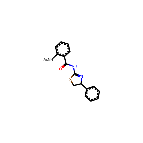 CC(=O)Nc1ccccc1C(=O)NC1=NC(c2ccccc2)CS1